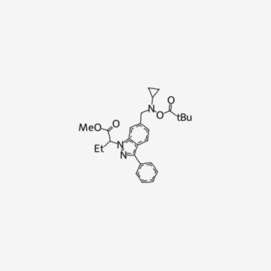 CCC(C(=O)OC)n1nc(-c2ccccc2)c2ccc(CN(OC(=O)C(C)(C)C)C3CC3)cc21